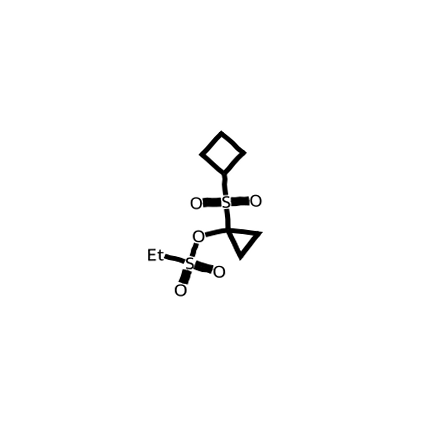 CCS(=O)(=O)OC1(S(=O)(=O)C2CCC2)CC1